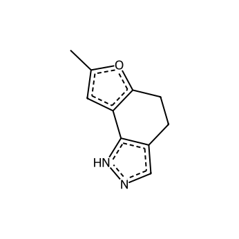 Cc1cc2c(o1)CCc1cn[nH]c1-2